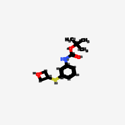 CC(C)(C)OC(=O)Nc1cccc(SC2COC2)c1